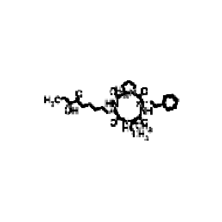 CC[C@@H](O)C(=O)CCCCC[C@@H]1NC(=O)[C@H]2CCCN2C(=O)[C@H](CCc2ccccc2)NC(=O)[C@](C)(CC)NC1=O